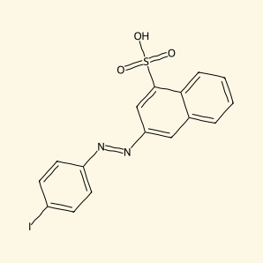 O=S(=O)(O)c1cc(N=Nc2ccc(I)cc2)cc2ccccc12